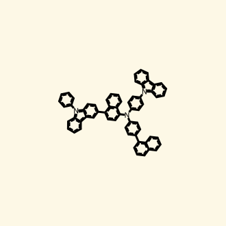 c1ccc(-n2c3ccccc3c3cc(-c4ccc(N(c5ccc(-c6cccc7ccccc67)cc5)c5ccc(-n6c7ccccc7c7ccccc76)cc5)c5ccccc45)ccc32)cc1